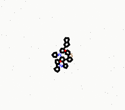 c1ccc(N(c2ccc(-c3ccc4ccccc4c3)cc2)c2ccc(-c3ccccc3-n3c4ccccc4c4ccccc43)c(-c3cccc4sc5ccccc5c34)c2)cc1